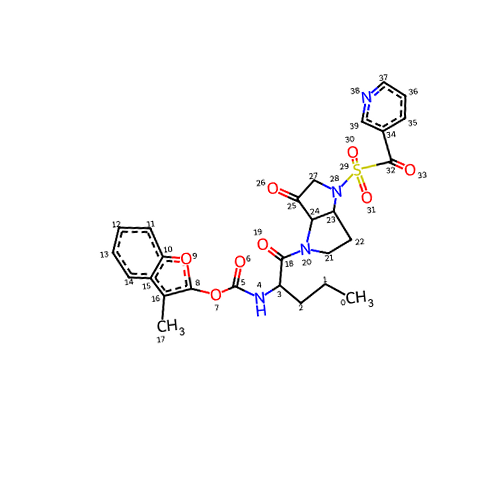 CCCC(NC(=O)Oc1oc2ccccc2c1C)C(=O)N1CCC2C1C(=O)CN2S(=O)(=O)C(=O)c1cccnc1